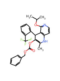 CC1=C(OC(=O)OCc2ccccc2)C(c2ccccc2C(F)(F)F)c2c(ccnc2OC(C)C)N1